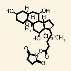 C[C@H](CCC(=O)ON1C(=O)CCC1=O)[C@H]1CC[C@H]2[C@@H]3[C@H](O)C[C@@H]4C[C@H](O)CC[C@]4(C)[C@H]3C[C@H](O)[C@]12C